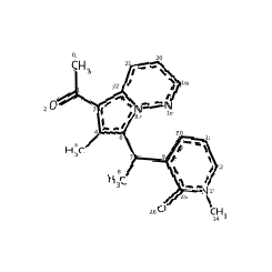 CC(=O)c1c(C)c(C(C)c2cccn(C)c2=O)n2ncccc12